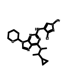 CC(C1CC1)N(C)c1nc(Nc2cn(C(C)C)nc2Cl)nc2c1ncn2C1CCCCO1